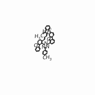 C\C=c1/c(=C\C=C\C2=C(c3nc(-c4ccc(C)cc4)nc(-c4cccc5c6c(oc45)CC(C)C=C6)n3)c3c(oc4ccccc34)CC2)oc2ccccc12